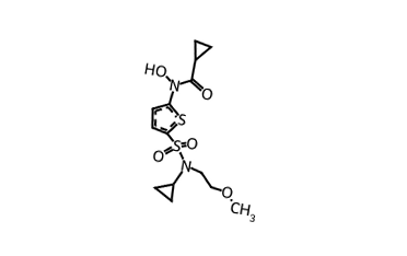 COCCN(C1CC1)S(=O)(=O)c1ccc(N(O)C(=O)C2CC2)s1